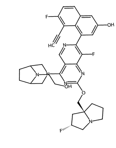 C#Cc1c(F)ccc2cc(O)cc(-c3ncc4c(N5CC6CCC(C5)N6CCO)nc(OC[C@@]56CCCN5C[C@H](F)C6)nc4c3F)c12